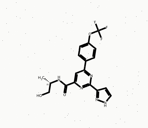 C[C@@H](CO)NC(=O)c1cc(-c2ccc(OC(F)(F)F)cc2)nc(-c2cc[nH]n2)n1